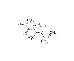 CCC(C)CC(C)N(C(=O)CI)C(C)C